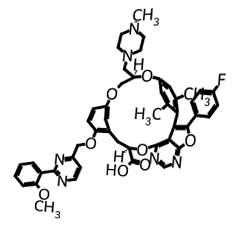 COc1ccccc1-c1nccc(COc2ccc3cc2C[C@H](C(=O)O)Oc2ncnc4oc(-c5ccc(F)cc5)c(c24)-c2c(C)cc(cc2C)O[C@H](CN2CCN(C)CC2)CO3)n1